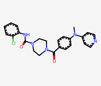 CN(c1ccncc1)c1ccc(C(=O)N2CCN(C(=O)Nc3ccccc3Cl)CC2)cc1